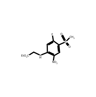 CCOC(=O)CNc1cc(F)c(S(C)(=O)=O)cc1[N+](=O)[O-]